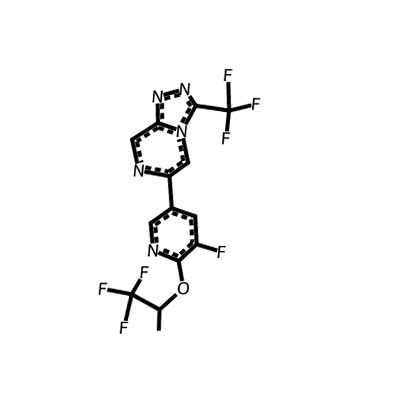 CC(Oc1ncc(-c2cn3c(C(F)(F)F)nnc3cn2)cc1F)C(F)(F)F